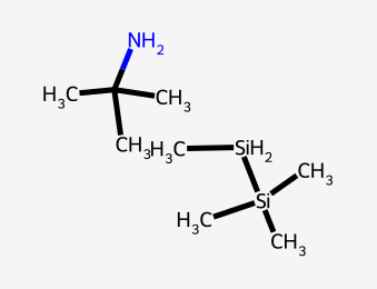 CC(C)(C)N.C[SiH2][Si](C)(C)C